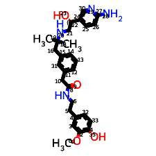 COc1cc(CCNC(=O)Cc2cccc(CC(C)(C)NC[C@H](O)c3ccc(N)nc3)c2)ccc1O